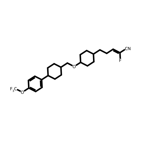 N#CC(F)=CCCC1CCC(OCC2CCC(c3ccc(OC(F)(F)F)cc3)CC2)CC1